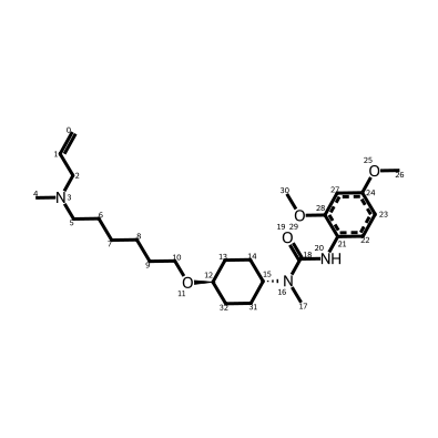 C=CCN(C)CCCCCCO[C@H]1CC[C@H](N(C)C(=O)Nc2ccc(OC)cc2OC)CC1